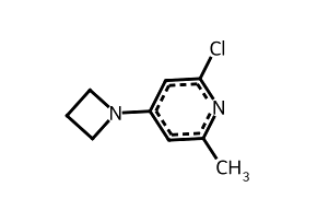 Cc1cc(N2CCC2)cc(Cl)n1